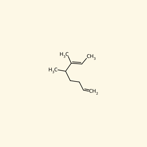 C=CCCC(C)C(C)=CC